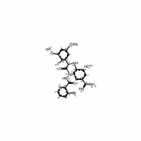 CCCOc1cc(OC)cc(C(Nc2ccc(C(=N)N)cc2)C(=O)NNC(=O)c2ncccc2Br)c1F.Cl